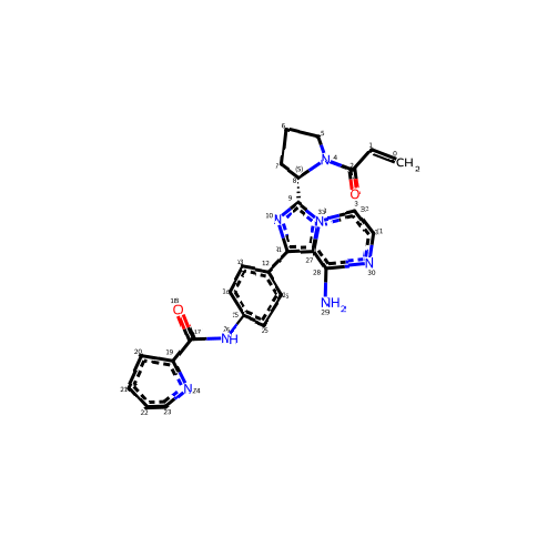 C=CC(=O)N1CCC[C@H]1c1nc(-c2ccc(NC(=O)c3ccccn3)cc2)c2c(N)nccn12